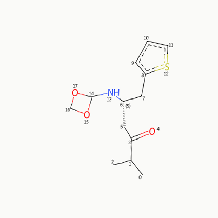 CC(C)C(=O)C[C@@H](Cc1cccs1)NC1OCO1